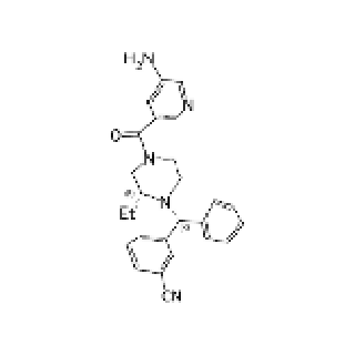 CC[C@@H]1CN(C(=O)c2cncc(N)c2)CCN1[C@H](c1ccccc1)c1cccc(C#N)c1